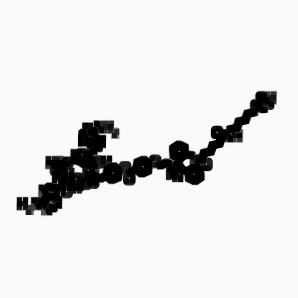 CP(O)(=S)OCCCCCCNC(=O)CCCCC(=O)N1Cc2ccccc2-c2c(nnn2CCOc2ccc(C(=O)Oc3ccc(CS[P@]4(=O)OC[C@H]5O[C@@H](n6cnc7c(N)ncnc76)[C@H](O[P@](=O)(S)OC[C@H]6O[C@@H](n7cnc8c(N)ncnc87)[C@H](O)[C@@H]6O4)[C@@H]5O)cc3)cc2)-c2ccccc21